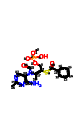 COP(=O)(O)OC/C(SC(=O)c1ccccc1)=C(/C)N(C=O)c1cnc(C)nc1N